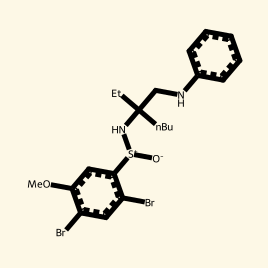 CCCCC(CC)(CNc1ccccc1)N[S+]([O-])c1cc(OC)c(Br)cc1Br